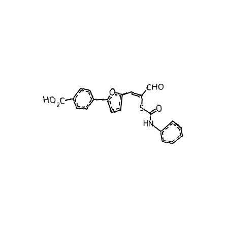 O=C/C(=C/c1ccc(-c2ccc(C(=O)O)cc2)o1)SC(=O)Nc1ccccc1